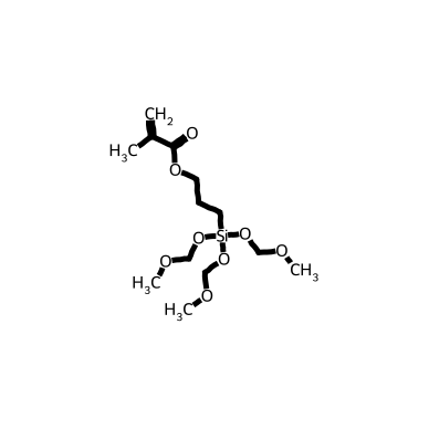 C=C(C)C(=O)OCCC[Si](OCOC)(OCOC)OCOC